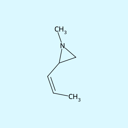 C/C=C\C1CN1C